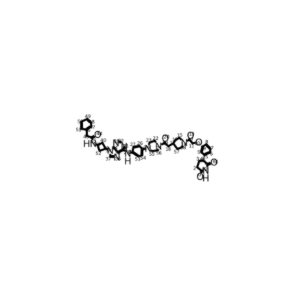 O=C1CC[C@@H](c2cccc(OCC(=O)N3CCC(CC(=O)N4CCN(c5ccc(Nc6ncnc7c6ncn7C6CC(NC(=O)Cc7ccccc7)C6)cc5)CC4)CC3)c2)C(=O)N1